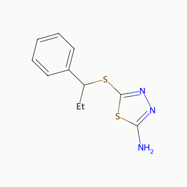 CCC(Sc1nnc(N)s1)c1ccccc1